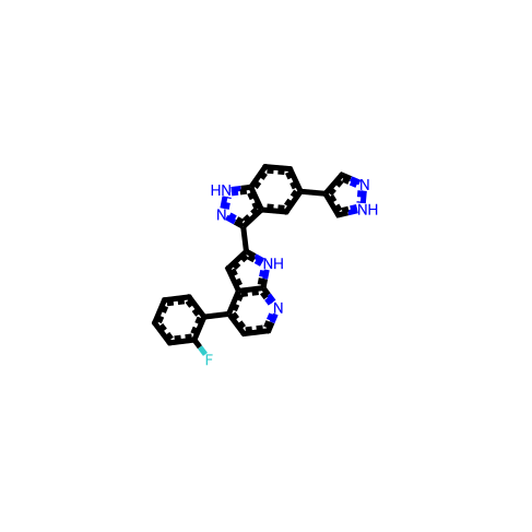 Fc1ccccc1-c1ccnc2[nH]c(-c3n[nH]c4ccc(-c5cn[nH]c5)cc34)cc12